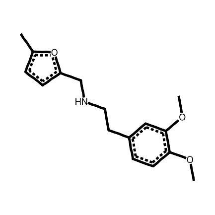 COc1ccc(CCNCc2ccc(C)o2)cc1OC